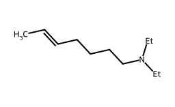 CC=CCCCCN(CC)CC